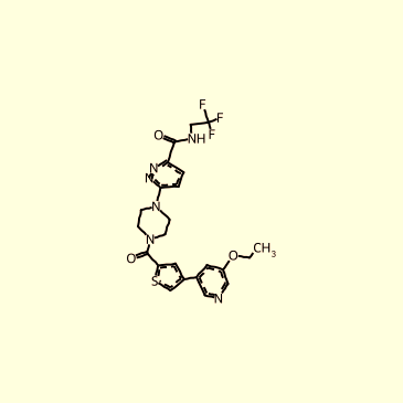 CCOc1cncc(-c2csc(C(=O)N3CCN(c4ccc(C(=O)NCC(F)(F)F)nn4)CC3)c2)c1